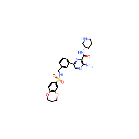 Nc1ncc(-c2cccc(CNS(=O)(=O)c3ccc4c(c3)OCCCO4)c2)nc1C(=O)N[C@H]1CCCNC1